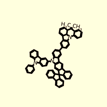 CC1(C)c2ccccc2N2c3ccc(-c4ccc5c(c4)c4cc6c(cc4n5-c4ccc5c(c4)c4ccccc4n5-c4ccccc4)C4(c5ccccc5-c5ccccc54)c4ccccc4-6)cc3C3=CC=CC1C32